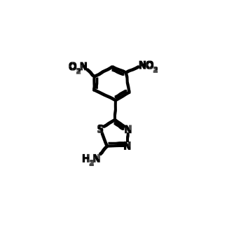 Nc1nnc(-c2cc([N+](=O)[O-])cc([N+](=O)[O-])c2)s1